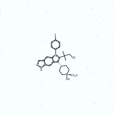 CC(C)(CC#N)c1c([C@H]2CC[C@](O)(C(=O)O)CC2)c2cc3[nH]ncc3cc2n1-c1ccc(F)cc1